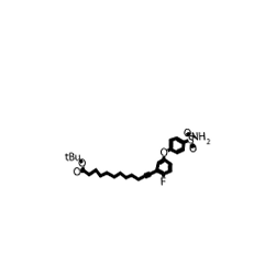 CC(C)(C)OC(=O)CCCCCCCCCC#Cc1cc(Oc2ccc(S(N)(=O)=O)cc2)ccc1F